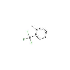 Cc1ccccc1[Si](F)(F)F